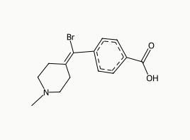 CN1CCC(=C(Br)c2ccc(C(=O)O)cc2)CC1